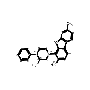 Cc1ccc2c(n1)oc1c(N3C=CN(c4ccccc4)[C@H](C)C3)c(C)ccc12